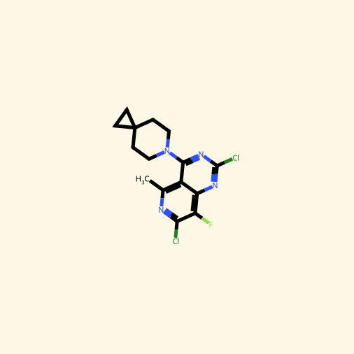 Cc1nc(Cl)c(F)c2nc(Cl)nc(N3CCC4(CC3)CC4)c12